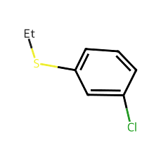 CCSc1cccc(Cl)c1